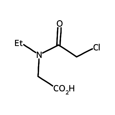 CCN(CC(=O)O)C(=O)CCl